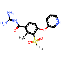 Cc1c(C(=O)N=C(N)N)ccc(Oc2cccnc2)c1S(C)(=O)=O